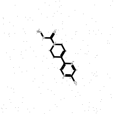 CC(C)(C)OC(=O)N1CC=C(c2cnc(Cl)cn2)CC1